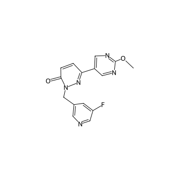 COc1ncc(-c2ccc(=O)n(Cc3cncc(F)c3)n2)cn1